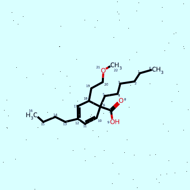 CCCCCCC1(C(=O)O)C=CC(CCCC)=CC1CCOC